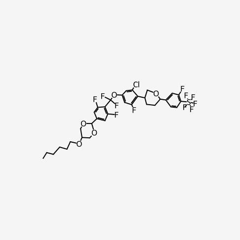 CCCCCCOC1COC(c2cc(F)c(C(F)(F)Oc3cc(F)c(C4CCC(c5ccc(S(F)(F)(F)(F)F)c(F)c5)OC4)c(Cl)c3)c(F)c2)OC1